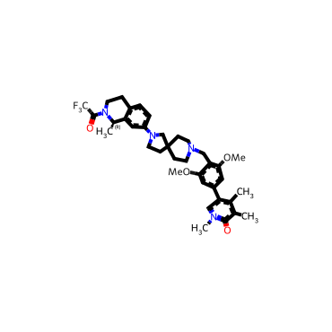 COc1cc(-c2cn(C)c(=O)c(C)c2C)cc(OC)c1CN1CCC2(CC1)CCN(c1ccc3c(c1)[C@@H](C)N(C(=O)C(F)(F)F)CC3)C2